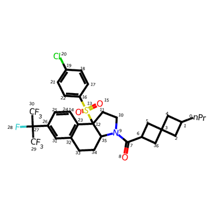 CCCC1CC2(C1)CC(C(=O)N1CCC3(S(=O)(=O)c4ccc(Cl)cc4)c4ccc(C(F)(C(F)(F)F)C(F)(F)F)cc4CCC13)C2